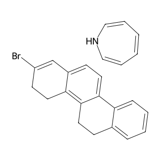 BrC1=Cc2ccc3c(c2CC1)CCc1ccccc1-3.C1=CC=CNC=C1